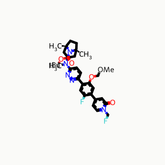 COCOc1cc(-c2ccn(CF)c(=O)c2)c(F)cc1-c1ccc(N(C)C2C[C@]3(C)CC[C@](C)(C2)N3C(=O)OC(C)(C)C)nn1